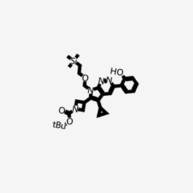 CC(C)(C)OC(=O)N1CC(c2c(C3CC3)c3cc(-c4ccccc4O)nnc3n2COCC[Si](C)(C)C)C1